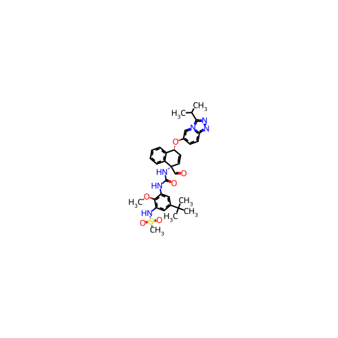 COc1c(NC(=O)N[C@@]2(C=O)C=C[C@@H](Oc3ccc4nnc(C(C)C)n4c3)c3ccccc32)cc(C(C)(C)C)cc1NS(C)(=O)=O